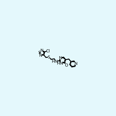 O=c1[nH]c(NCCSCc2nsnc2Cl)ncc1Cc1cccnc1